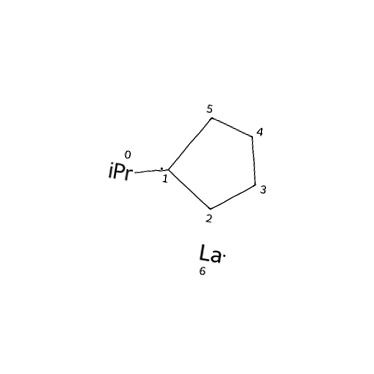 CC(C)[C]1CCCC1.[La]